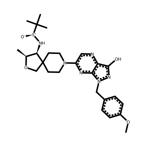 COc1ccc(Cn2nc(O)c3ncc(N4CCC5(CC4)CO[C@@H](C)[C@H]5N[S@@+]([O-])C(C)(C)C)nc32)cc1